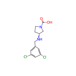 O=C(O)N1CC[C@H](NCc2cc(Cl)cc(Cl)c2)C1